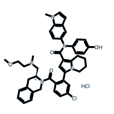 COCCN(C)C[C@@H]1Cc2ccccc2CN1C(=O)c1ccc(Cl)cc1-c1cc(C(=O)N(c2ccc(O)cc2)c2ccc3c(ccn3C)c2)c2n1CCCC2.Cl